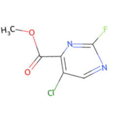 COC(=O)c1nc(F)ncc1Cl